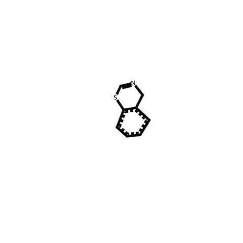 C1=NCc2ccccc2S1